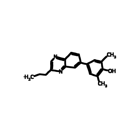 [CH2]CCc1cnc2ccc(-c3cc(C)c(O)c(C)c3)cc2n1